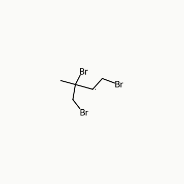 CC(Br)([CH]CBr)CBr